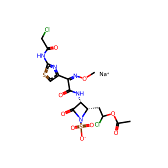 CON=C(C(=O)N[C@H]1C(=O)N(S(=O)(=O)[O-])[C@H]1CC(Cl)OC(C)=O)c1csc(NC(=O)CCl)n1.[Na+]